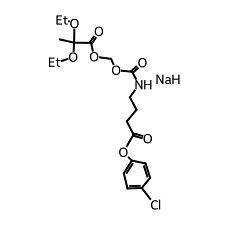 CCOC(C)(OCC)C(=O)OCOC(=O)NCCCC(=O)Oc1ccc(Cl)cc1.[NaH]